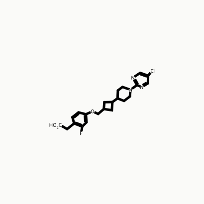 O=C(O)Cc1ccc(OCC2CC(C3CCN(c4ncc(Cl)cn4)CC3)C2)cc1F